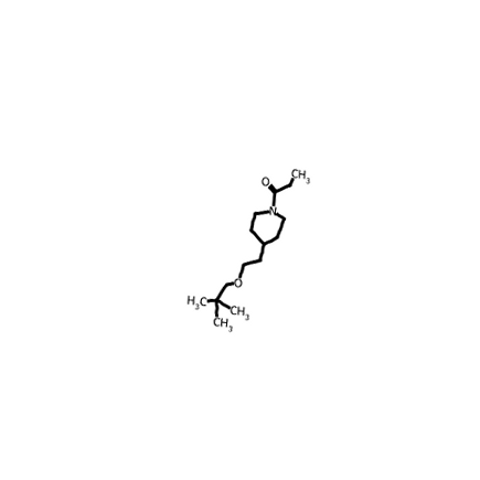 CCC(=O)N1CCC(CCOCC(C)(C)C)CC1